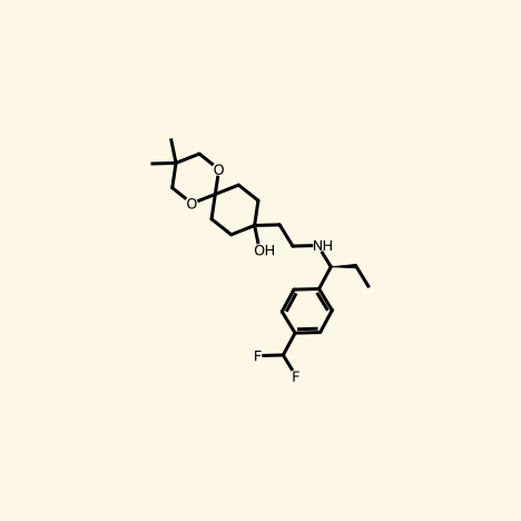 CC[C@H](NCCC1(O)CCC2(CC1)OCC(C)(C)CO2)c1ccc(C(F)F)cc1